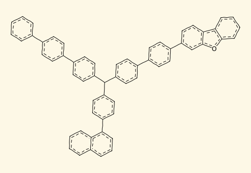 c1ccc(-c2ccc(-c3ccc(C(c4ccc(-c5ccc(-c6ccc7c(c6)oc6ccccc67)cc5)cc4)c4ccc(-c5cccc6ccccc56)cc4)cc3)cc2)cc1